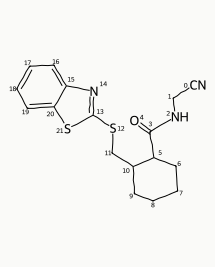 N#CCNC(=O)C1CCCCC1CSc1nc2ccccc2s1